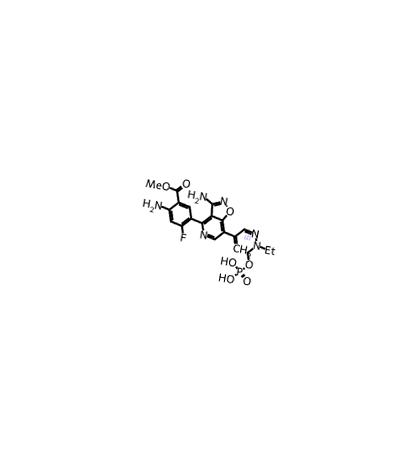 C=C(/C=N\N(CC)COP(=O)(O)O)c1cnc(-c2cc(C(=O)OC)c(N)cc2F)c2c(N)noc12